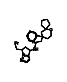 CC(C)CC1CC(NCCC2(c3ccccn3)CCOC3(CCCC3)C2)c2ccnn21